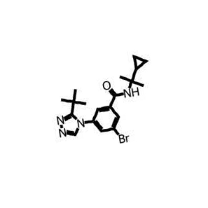 CC(C)(C)c1nncn1-c1cc(Br)cc(C(=O)NC(C)(C)C2CC2)c1